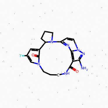 Nc1nn2ccc3nc2c1C(=O)NCCCn1cc(F)cc(c1=O)C1CCCN31